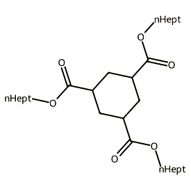 CCCCCCCOC(=O)C1CC(C(=O)OCCCCCCC)CC(C(=O)OCCCCCCC)C1